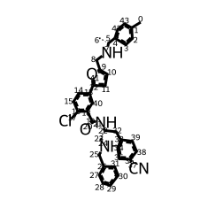 Cc1ccc([C@@H](C)NCc2ccc(-c3ccc(Cl)c(C(=O)N[C@@H](CNCc4ccccc4)Cc4ccc(C#N)cc4)c3)o2)cc1